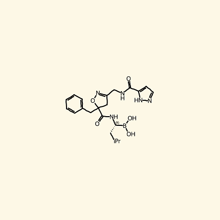 CC(C)C[C@H](NC(=O)C1(Cc2ccccc2)CC(CNC(=O)c2ccn[nH]2)=NO1)B(O)O